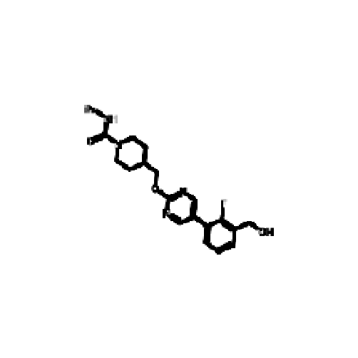 CC(C)NC(=O)N1CCC(COc2ncc(-c3cccc(CO)c3F)cn2)CC1